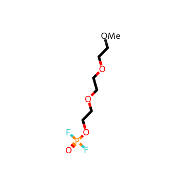 COCCOCCOCCOP(=O)(F)F